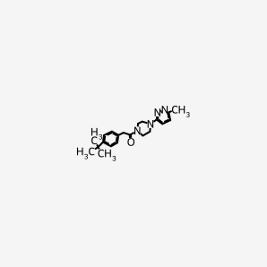 Cc1ccc(N2CCN(C(=O)Cc3ccc(C(C)(C)C)cc3)CC2)nn1